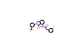 O=C(Cc1cccc(F)c1)Nc1cccc2c1C(=O)N(c1cccc(C(F)(F)F)c1)C2